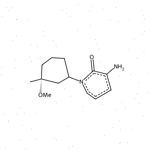 CO[C@]1(C)CCCC(n2cccc(N)c2=O)C1